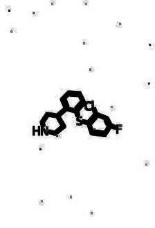 Fc1ccc(Sc2ccccc2C2CCNCC2)c(Cl)c1